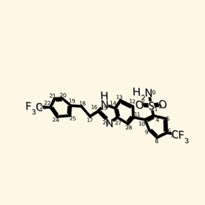 NS(=O)(=O)c1cc(C(F)(F)F)ccc1-c1ccc2[nH]c(CCc3ccc(C(F)(F)F)cc3)nc2c1